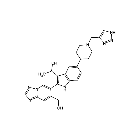 CC(C)c1c(-c2cn3ncnc3cc2CO)[nH]c2ccc(C3CCN(Cc4c[nH]nn4)CC3)cc12